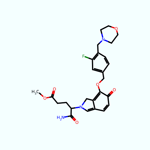 COC(=O)CCC(C(N)=O)N1C=C2C=CC(=O)C(OCc3ccc(CN4CCOCC4)c(F)c3)=C2C1